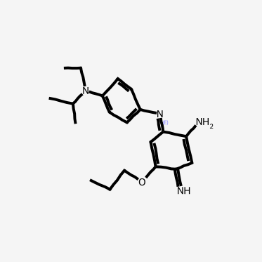 CCCOC1=C/C(=N\c2ccc(N(CC)C(C)C)cc2)C(N)=CC1=N